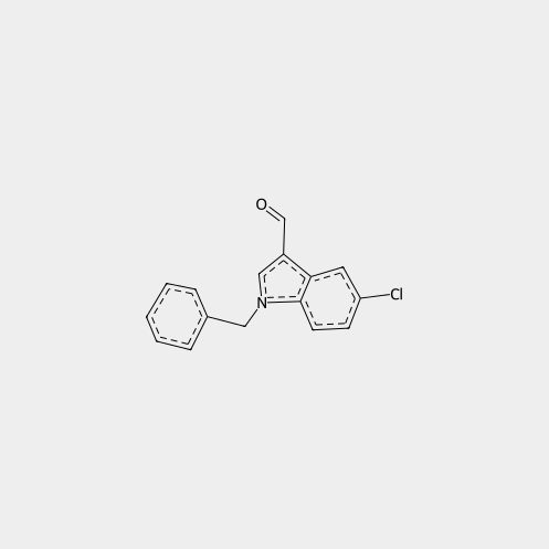 O=Cc1cn(Cc2ccccc2)c2ccc(Cl)cc12